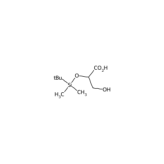 CC(C)(C)[Si](C)(C)OC(CO)C(=O)O